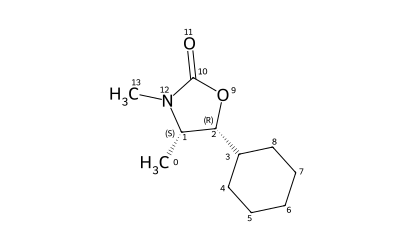 C[C@H]1[C@@H](C2CCCCC2)OC(=O)N1C